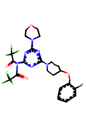 O=C(N(C(=O)C(F)(F)F)c1nc(N2CCOCC2)nc(N2CCC(Oc3ccccc3F)CC2)n1)C(F)(F)F